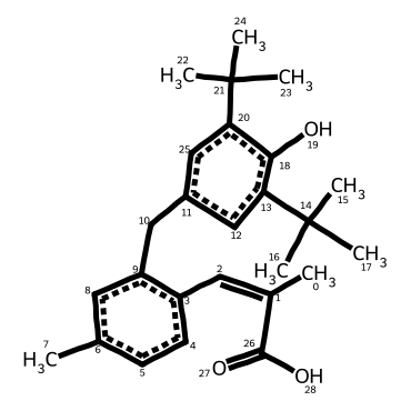 CC(=Cc1ccc(C)cc1Cc1cc(C(C)(C)C)c(O)c(C(C)(C)C)c1)C(=O)O